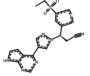 CCS(=O)(=O)c1cccc([C@@H](CC#N)n2cc(-c3ncnc4[nH]ccc34)cn2)c1